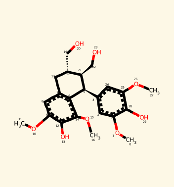 COc1cc([C@H]2c3c(cc(OC)c(O)c3OC)C[C@H](CO)[C@H]2CO)cc(OC)c1O